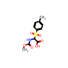 COC(=O)NC(C(=O)O)S(=O)(=O)c1ccc(C)cc1